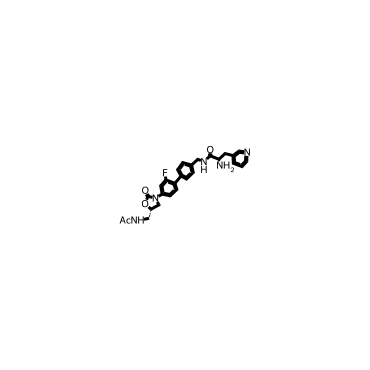 CC(=O)NC[C@H]1CN(c2ccc(-c3ccc(CNC(=O)[C@H](N)Cc4cccnc4)cc3)c(F)c2)C(=O)O1